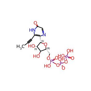 CC#Cc1[nH]c(=O)cnc1[C@@H]1O[C@H](COP(=O)(O)OP(=O)(O)OP(=O)(O)O)C(O)[C@@H]1O